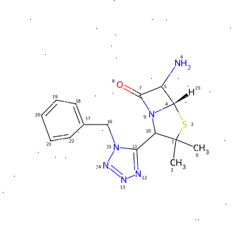 CC1(C)S[C@H]2C(N)C(=O)N2C1c1nnnn1Cc1ccccc1